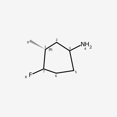 C[C@@H]1CC(N)CCC1F